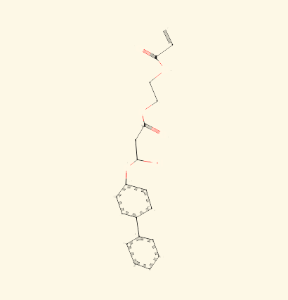 C=CC(=O)OCCOC(=O)CC(O)Oc1ccc(-c2ccccc2)cc1